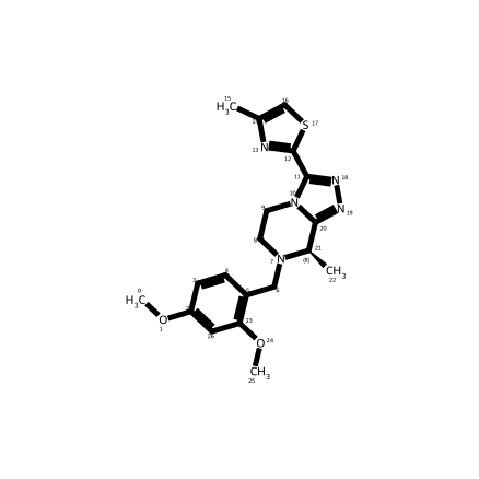 COc1ccc(CN2CCn3c(-c4nc(C)cs4)nnc3[C@H]2C)c(OC)c1